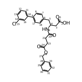 O=C(O)CC(Cc1ccc(-c2cccc(Cl)c2)cc1)NC(=O)CCC(=O)OCc1ccccc1